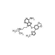 Cc1ccc(-c2cc3c(cc2Sc2nc4c(N)ncnc4n2CCCNC(C)C)OCO3)o1